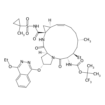 CCOc1nnc(O[C@@H]2C[C@H]3C(=O)N[C@]4(C(=O)NS(=O)(=O)C5(C)CC5)C[C@H]4/C=C\CC[C@H](C)C[C@@H](CC)[C@H](NC(=O)OC(C)(C)C(F)(F)F)C(=O)N3C2)c2ccccc12